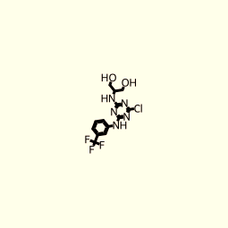 OCC(CO)Nc1nc(Cl)nc(Nc2cccc(C(F)(F)F)c2)n1